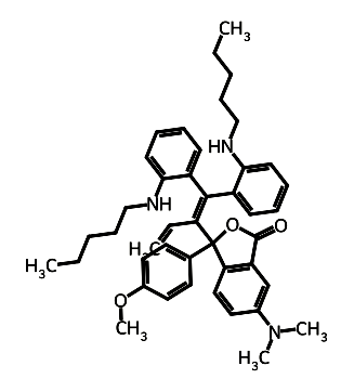 C=CC(=C(c1ccccc1NCCCCC)c1ccccc1NCCCCC)C1(c2ccc(OC)cc2)OC(=O)c2cc(N(C)C)ccc21